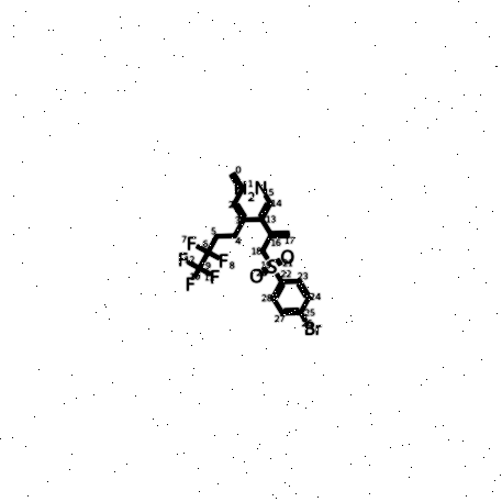 C=C/C=C(CCC(F)(F)C(F)(F)F)\C(=C/N)C(=C)CS(=O)(=O)c1ccc(Br)cc1